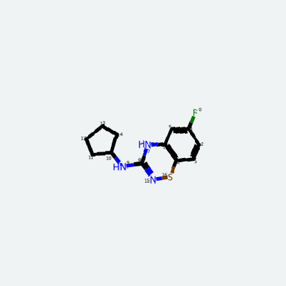 Fc1ccc2c(c1)NC(NC1CCCC1)=NS2